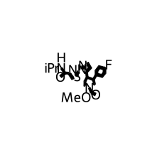 COC(=O)N1CCC(c2ccnn2-c2nc(C(=O)NC(C)C)cs2)C(c2ccc(F)cc2)C1